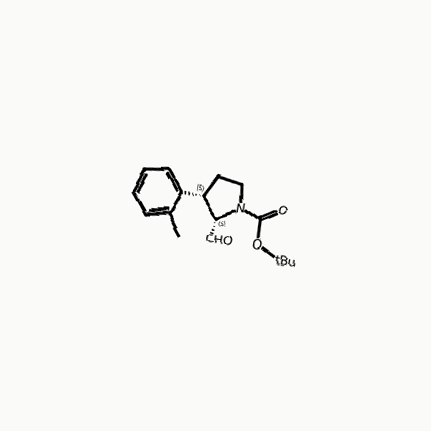 Cc1ccccc1[C@@H]1CCN(C(=O)OC(C)(C)C)[C@@H]1C=O